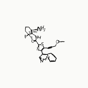 COCC#Cc1sc(C(=O)N[C@@H]2[C@H](N)CCCC2(F)F)nc1-c1cnn2ccccc12